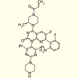 C=CC(=O)N1CCN(c2nc(=O)n(-c3c(C(C)C)nc(N4CCNCC4)nc3C(C)C)c3nc(-c4c(N)cccc4F)c(F)cc23)[C@@H](C)C1